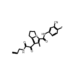 C=CCNC(=O)C(=O)c1c(C)c(C(=O)Nc2ccc(F)c(C#N)c2)n2c1CCC2